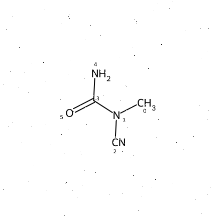 CN(C#N)C(N)=O